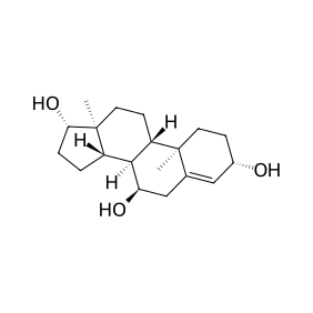 C[C@]12CC[C@H]3[C@@H]([C@H](O)CC4=C[C@@H](O)CC[C@@]43C)[C@@H]1CC[C@@H]2O